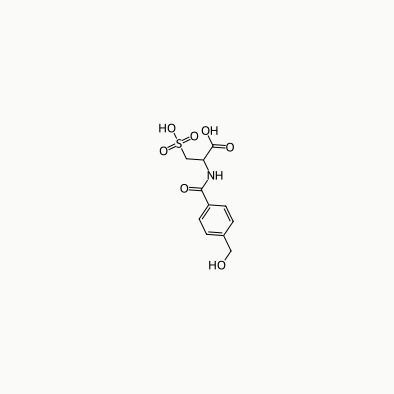 O=C(NC(CS(=O)(=O)O)C(=O)O)c1ccc(CO)cc1